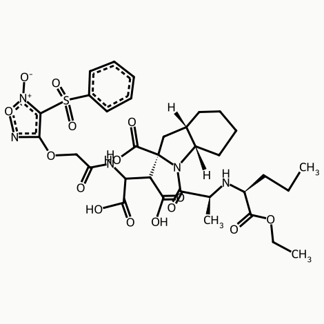 CCC[C@H](N[C@@H](C)C(=O)N1[C@H]2CCCC[C@H]2C[C@@]1(C(=O)O)C(C(=O)O)C(NC(=O)COc1no[n+]([O-])c1S(=O)(=O)c1ccccc1)C(=O)O)C(=O)OCC